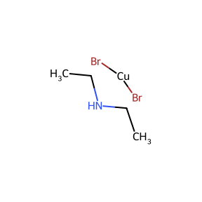 CCNCC.[Br][Cu][Br]